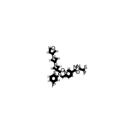 O=C(N(Cc1ccc(-c2nnc(C(F)F)o2)cn1)c1cccc(F)c1)C1(F)CN(C2CN(C3CCOC3)C2)C1